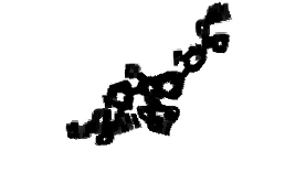 CCc1c(-c2ccnc(NC(=O)OC(C)(C)C)c2)n(C(=O)OC(C)(C)C)c2ccc(C3CCN(C(=O)OC(C)(C)C)CC3F)cc12